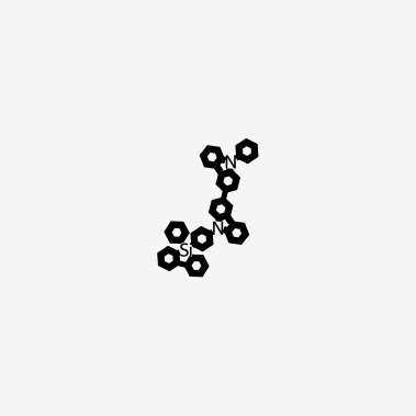 c1ccc(-n2c3ccccc3c3cc(-c4ccc5c(c4)c4ccccc4n5-c4ccc([Si]5(c6ccccc6)c6ccccc6-c6ccccc65)cc4)ccc32)cc1